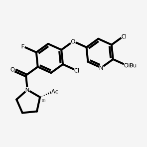 CC(=O)[C@@H]1CCCN1C(=O)c1cc(Cl)c(Oc2cnc(OCC(C)C)c(Cl)c2)cc1F